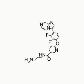 NCCCNC(=O)c1ccc(Oc2ccc(-c3cnc4cnccn34)c(F)c2F)nc1